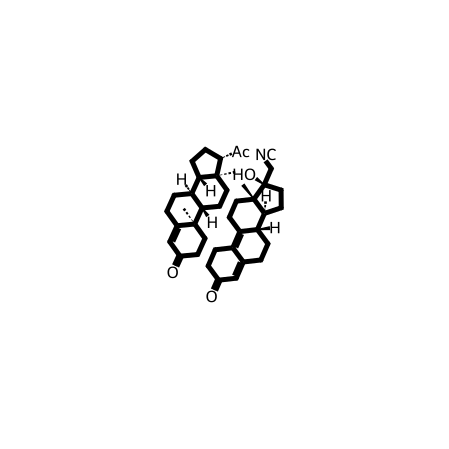 CC(=O)[C@H]1CC[C@H]2[C@@H]3CCC4=CC(=O)CC[C@]4(C)[C@H]3CC[C@]12C.C[C@]12CCC3=C4CCC(=O)C=C4CC[C@H]3[C@@H]1CC[C@@]2(O)CC#N